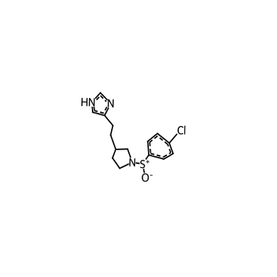 [O-][S+](c1ccc(Cl)cc1)N1CCC(CCc2c[nH]cn2)C1